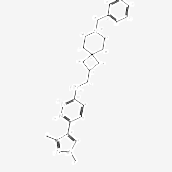 Cc1nn(C)cc1-c1ccc(NCC2CC3(CCN(Cc4ccccc4)CC3)C2)nn1